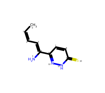 C/C=C\C=C(/N)c1ccc(=S)[nH]n1